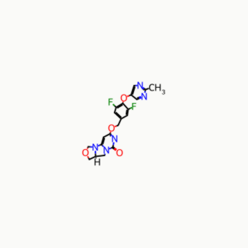 Cc1ncc(Oc2c(F)cc(COc3cc4n(c(=O)n3)C[C@H]3COCN43)cc2F)cn1